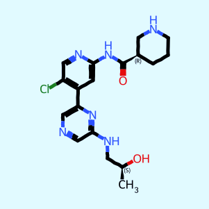 C[C@H](O)CNc1cncc(-c2cc(NC(=O)[C@@H]3CCCNC3)ncc2Cl)n1